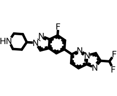 Fc1cc(-c2ccc3nc(C(F)F)cn3n2)cc2cn(C3CCNCC3)nc12